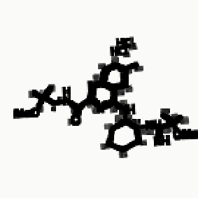 COC(C)(C)CNC(=O)c1nc(N[C@H]2CCCC[C@H]2NC(=N)C(C)(C)OC)c2cc(C)ccc2n1.Cl.Cl